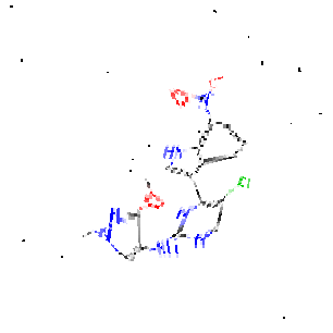 COc1nn(C)cc1Nc1ncc(Cl)c(-c2c[nH]c3c([N+](=O)[O-])cccc23)n1